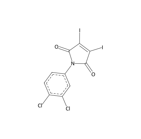 O=C1C(I)=C(I)C(=O)N1c1ccc(Cl)c(Cl)c1